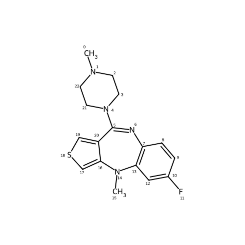 CN1CCN(C2=Nc3ccc(F)cc3N(C)c3cscc32)CC1